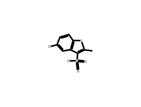 Cc1sc2ccc(Cl)cc2c1S(=O)(=O)Cl